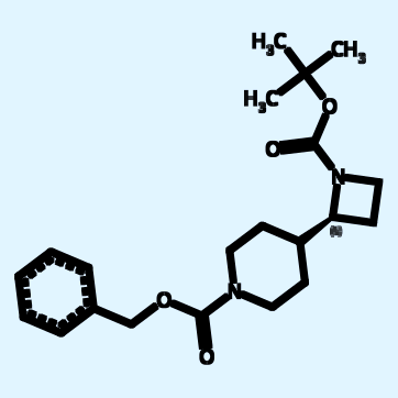 CC(C)(C)OC(=O)N1CC[C@H]1C1CCN(C(=O)OCc2ccccc2)CC1